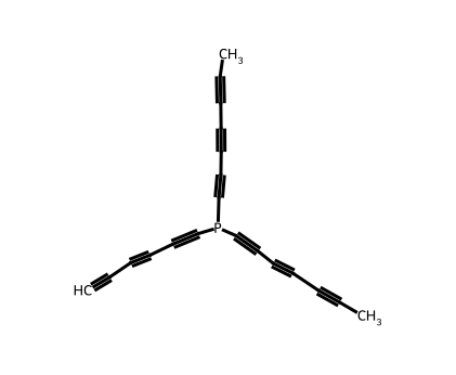 C#CC#CC#CP(C#CC#CC#CC)C#CC#CC#CC